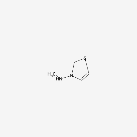 CNN1C=CSC1